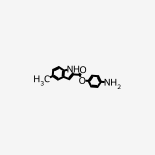 Cc1ccc2[nH]c(C(=O)Oc3ccc(N)cc3)cc2c1